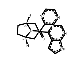 O=C(c1cnccn1)N1[C@@H]2CC[C@H]1CN(c1ncnc3[nH]ccc13)C2